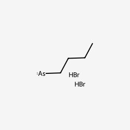 Br.Br.CCCC[As]